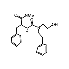 CNC(=O)C(Cc1ccccc1)NC(=O)N(CCO)CCc1ccccc1